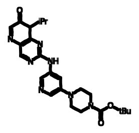 CC(C)C1C(=O)C=Nc2cnc(Nc3cncc(N4CCN(C(=O)OC(C)(C)C)CC4)c3)nc21